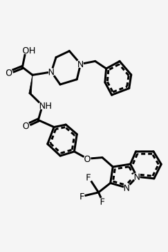 O=C(NC[C@@H](C(=O)O)N1CCN(Cc2ccccc2)CC1)c1ccc(OCc2c(C(F)(F)F)nn3ccccc23)cc1